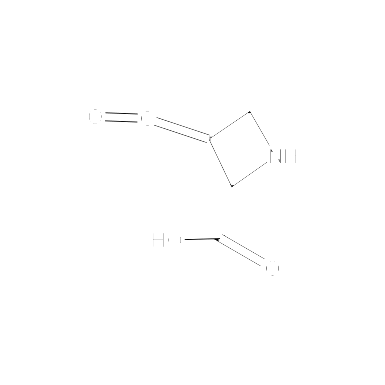 O=C=C1CN[C@@H]1C(=O)O